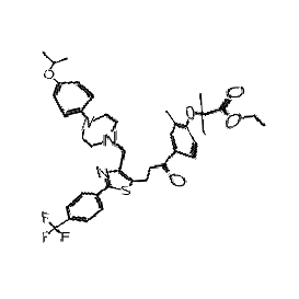 CCOC(=O)C(C)(C)Oc1ccc(C(=O)CCc2sc(-c3ccc(C(F)(F)F)cc3)nc2CN2CCN(c3ccc(OC(C)C)cc3)CC2)cc1C